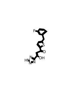 O=C(C=C(O)c1nn[nH]n1)c1ccc(Cc2cccc(F)c2)s1